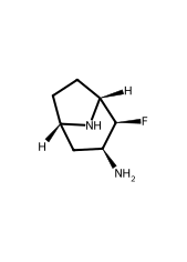 N[C@H]1C[C@@H]2CC[C@@H](N2)[C@H]1F